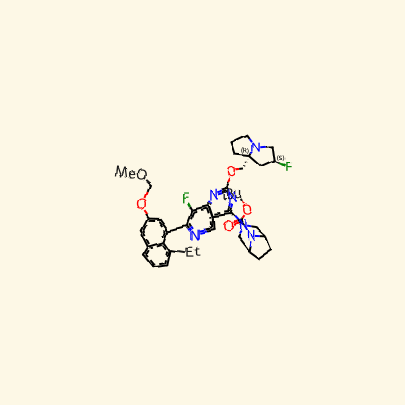 CCc1cccc2cc(OCOC)cc(-c3ncc4c(N5CC6CCC(C5)N6C(=O)OC(C)(C)C)nc(OC[C@]56CCCN5C[C@@H](F)C6)nc4c3F)c12